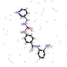 Nc1ccccc1NC(=O)c1ccc(NC(=O)NCc2cccnc2)cc1